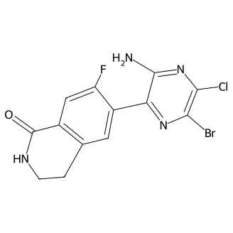 Nc1nc(Cl)c(Br)nc1-c1cc2c(cc1F)C(=O)NCC2